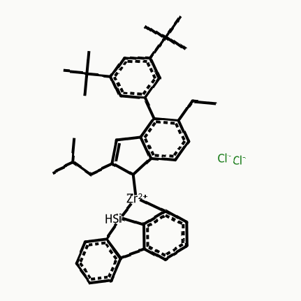 CCc1ccc2c(c1-c1cc(C(C)(C)C)cc(C(C)(C)C)c1)C=C(CC(C)C)[CH]2[Zr+2]1[c]2cccc3c2[SiH]1c1ccccc1-3.[Cl-].[Cl-]